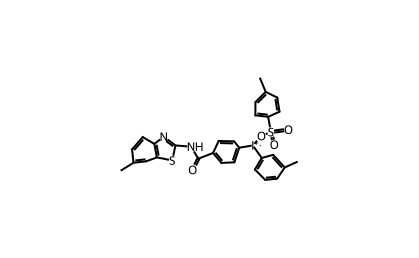 Cc1ccc(S(=O)(=O)O[I+](c2ccc(C(=O)Nc3nc4ccc(C)cc4s3)cc2)c2cccc(C)c2)cc1